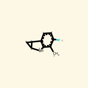 Cc1c(F)ccc2c1BC1CC21